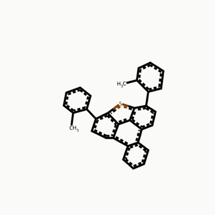 Cc1ccccc1-c1ccc2c3ccccc3c3ccc(-c4ccccc4C)c4sc1c2c43